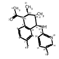 CC(=O)N1c2ccc(F)cc2[C@H](Nc2ccc(F)cn2)[C@@H](C)[C@@H]1C